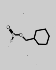 O=[P](F)OCC1CCCCC1